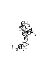 CCCCC(CC)COCC1OC(c2ccc(C)o2)C1(C)C